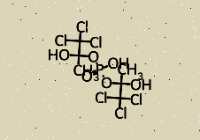 CC(O)(OP(=O)(O)OC(C)(O)C(Cl)(Cl)Cl)C(Cl)(Cl)Cl